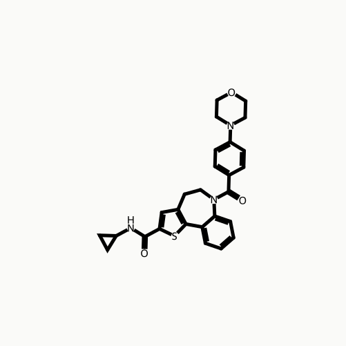 O=C(NC1CC1)c1cc2c(s1)-c1ccccc1N(C(=O)c1ccc(N3CCOCC3)cc1)CC2